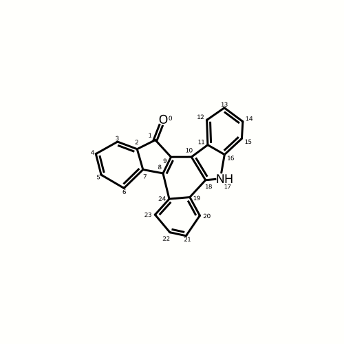 O=C1c2ccccc2-c2c1c1c3ccccc3[nH]c1c1ccccc21